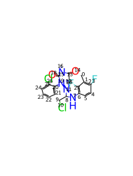 Cc1c(F)ccc(NC(CCl)N2C3C(=O)N(C)C(=O)[N+]32c2ccccc2Cl)c1F